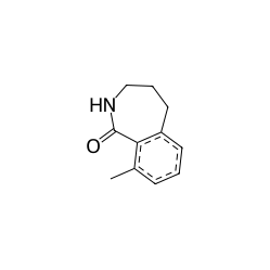 Cc1cccc2c1C(=O)NCCC2